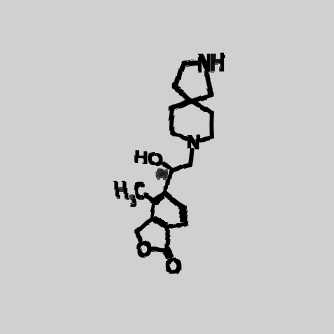 Cc1c([C@@H](O)CN2CCC3(CCNC3)CC2)ccc2c1COC2=O